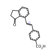 O=C(O)c1ccc(/C=C/c2cccc3c2C(=O)CC3)cc1